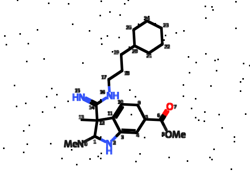 CNC1NC2=CC(C(=O)OC)CC=C2C1(C)C(=N)NCCCC1CCCCC1